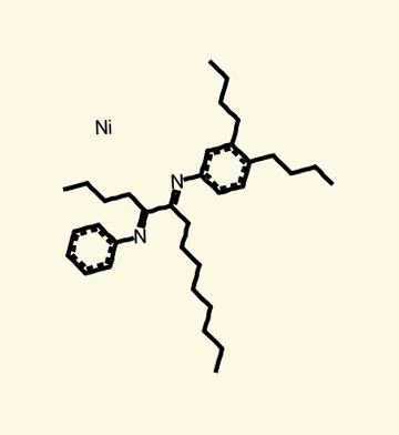 CCCCCCCCC(=N\c1ccc(CCCC)c(CCCC)c1)/C(CCCC)=N/c1ccccc1.[Ni]